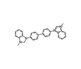 CN1CN(c2ccc(-c3ccc(-n4c[n+](C)c5ccccc54)cc3)cc2)c2ccccc21